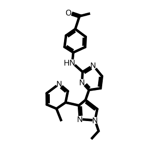 CCn1cc(-c2ccnc(Nc3ccc(C(C)=O)cc3)n2)c(C2C=NC=CC2C)n1